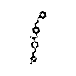 Cn1cnc(CCN2CCN(C(=O)Oc3ccc(CCSc4ccccn4)cc3)CC2)c1